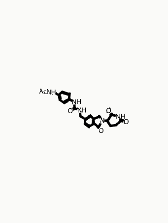 CC(=O)Nc1ccc(NC(=O)NCc2ccc3c(c2)CN(C2CCC(=O)NC2=O)C3=O)cc1